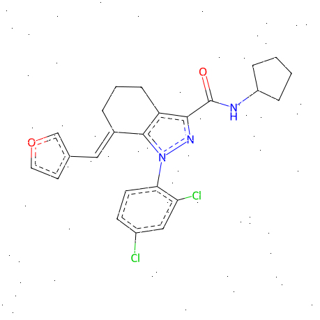 O=C(NC1CCCC1)c1nn(-c2ccc(Cl)cc2Cl)c2c1CCC/C2=C\c1ccoc1